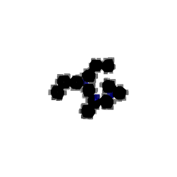 c1ccc(-c2cccc(-c3ccc(N(c4ccc(-c5cccc(-c6ccccc6)c5)cc4)c4ccc(-c5cc(-c6ccccc6)cc(-c6cccc(-n7c8ccccc8c8ccccc87)c6)n5)cc4)cc3)c2)cc1